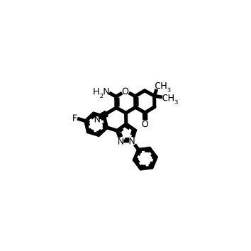 CC1(C)CC(=O)C2=C(C1)OC(N)=C(C#N)C2c1cn(-c2ccccc2)nc1-c1ccc(F)cc1